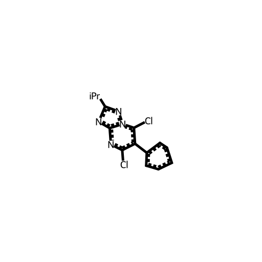 CC(C)c1nc2nc(Cl)c(-c3ccccc3)c(Cl)n2n1